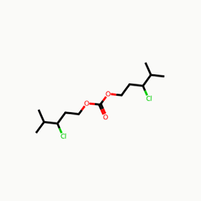 CC(C)C(Cl)CCOC(=O)OCCC(Cl)C(C)C